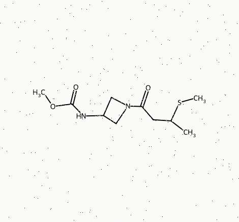 COC(=O)NC1CN(C(=O)CC(C)SC)C1